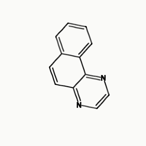 c1ccc2c(c1)ccc1nccnc12